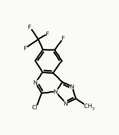 Cc1nc2c3cc(F)c(C(F)(F)F)cc3nc(Cl)n2n1